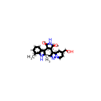 Cc1nn2ccc(CO)cc2c1C1=C(c2c[nH]c3c(C)cccc23)C(=O)NC1=O